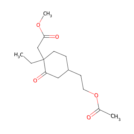 CCC1(CC(=O)OC)CCC(CCOC(C)=O)CC1=O